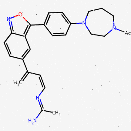 C=C(/C=C\N=C(/C)N)c1ccc2noc(-c3ccc(N4CCCN(C(C)=O)CC4)cc3)c2c1